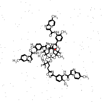 Cc1ccn2c(C(=O)Nc3cc(-c4noc(CCC(C)(OP(=O)(OC(C)(CCc5nc(-c6ccc(C)c(NC(=O)c7cnc8cc(C)ccn78)c6)no5)C(F)(F)F)OC(C)(CCc5nc(-c6ccc(C)c(NC(=O)c7cnc8cc(C)ccn78)c6)no5)C(F)(F)F)C(F)(F)F)n4)ccc3C)cnc2c1